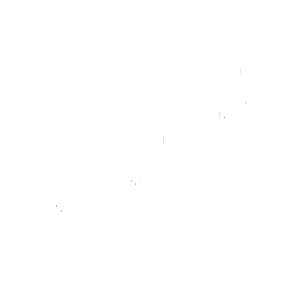 CC(C)(C)OC(=O)N1CCC(COCC(NC(=O)c2ccc3cc[nH]c3c2)c2ccccc2F)CC1